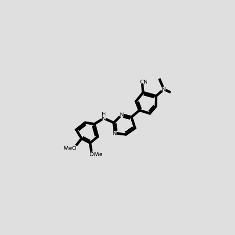 COc1ccc(Nc2nccc(-c3ccc(N(C)C)c(C#N)c3)n2)cc1OC